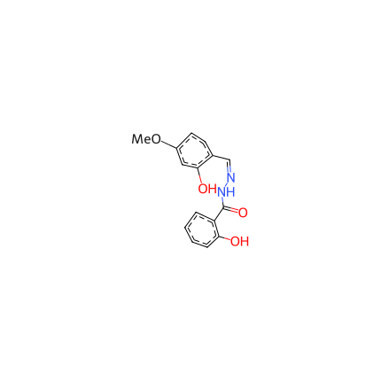 COc1ccc(/C=N\NC(=O)c2ccccc2O)c(O)c1